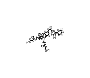 CC(C)CCC(=O)OCOC(=O)C1(C(=O)OCOC(=O)CCC(C)C)Oc2ccc(CC(C)NCC(O)c3cccc(Cl)c3)cc2O1